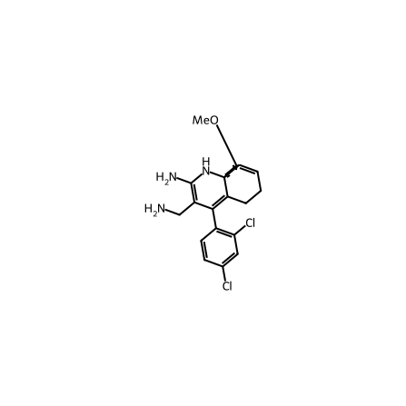 COC1=CC2=CCCC3=C(c4ccc(Cl)cc4Cl)C(CN)=C(N)NC23C=C1